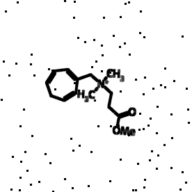 COC(=O)CC[N+](C)(C)CC1=CC=CCC=C1